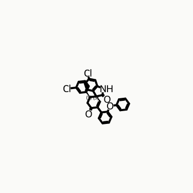 O=C1C[C@@H](c2cccc(Cl)c2)[C@@]2(C=C1c1ccccc1Oc1ccccc1)C(=O)Nc1cc(Cl)ccc12